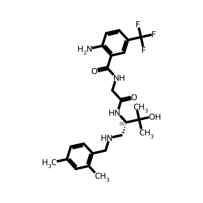 Cc1ccc(CNC[C@H](NC(=O)CNC(=O)c2cc(C(F)(F)F)ccc2N)C(C)(C)O)c(C)c1